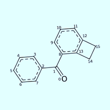 O=C(c1ccccc1)c1cccc2c1CC2